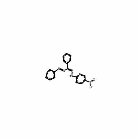 O=[N+]([O-])c1ccc(NN=C(N=Nc2ccccc2)c2ccccc2)nc1